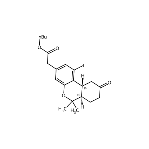 CCCCOC(=O)Cc1cc(I)c2c(c1)OC(C)(C)[C@@H]1CCC(=O)C[C@@H]21